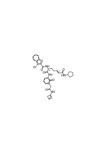 CCc1c(C(=O)N[C@@H](CC/C=C/C(=O)NC2CCCC2)C(=O)Nc2cccn(CC(=O)NC34CC(C3)C4)c2=O)oc2ccccc12